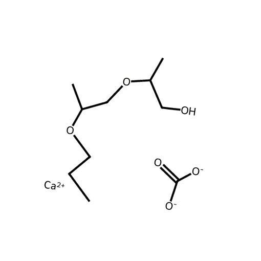 CCCOC(C)COC(C)CO.O=C([O-])[O-].[Ca+2]